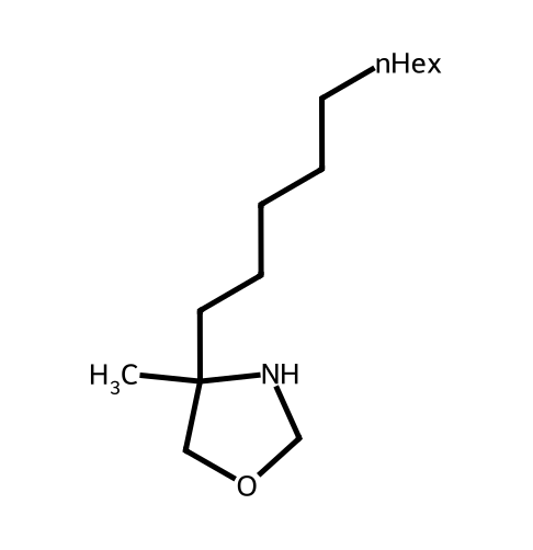 CCCCCCCCCCCC1(C)COCN1